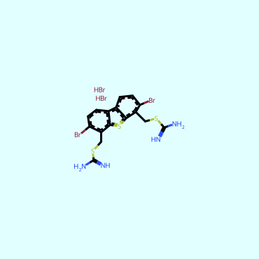 Br.Br.N=C(N)SCc1c(Br)ccc2c1sc1c(CSC(=N)N)c(Br)ccc12